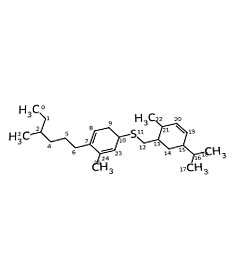 CCC(C)CCCC1=CCC(SCC2CC(C(C)C)C=CC2C)C=C1C